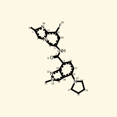 Cc1cn2cc(NC(=O)c3ccc(N4C[CH]CC4)c4cn(C)nc34)cc(F)c2n1